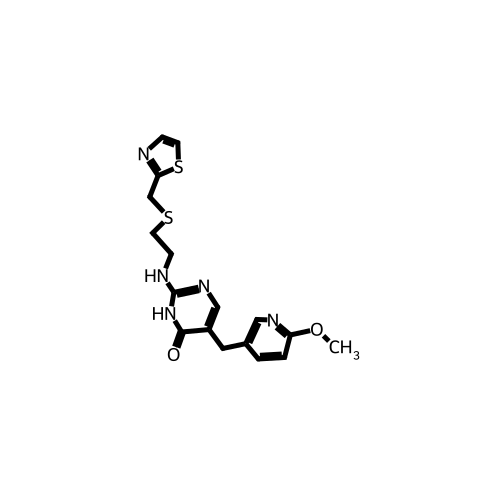 COc1ccc(Cc2cnc(NCCSCc3nccs3)[nH]c2=O)cn1